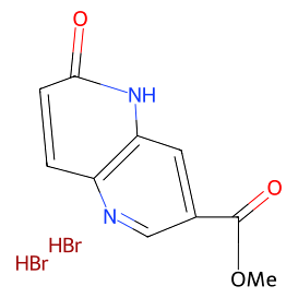 Br.Br.COC(=O)c1cnc2ccc(=O)[nH]c2c1